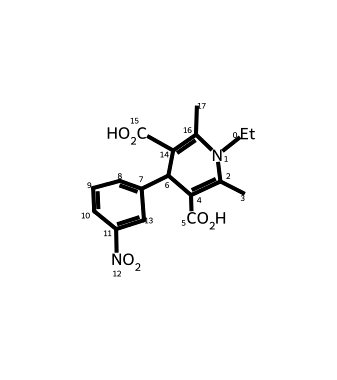 CCN1C(C)=C(C(=O)O)C(c2cccc([N+](=O)[O-])c2)C(C(=O)O)=C1C